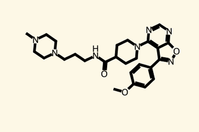 COc1ccc(-c2noc3ncnc(N4CCC(C(=O)NCCCN5CCN(C)CC5)CC4)c23)cc1